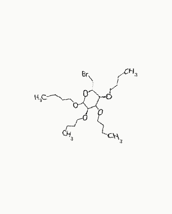 CCCCOC1O[C@H](CBr)[C@@H](OCCCC)C(OCCCC)[C@H]1OCCCC